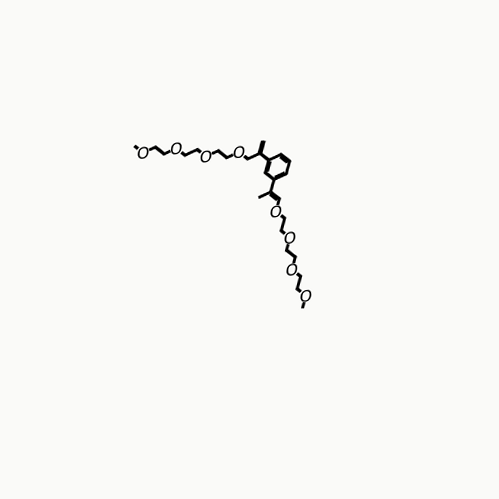 C=C(COCCOCCOCCOC)c1cccc(/C(C)=C/OCCOCCOCCOC)c1